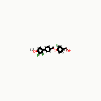 CCOc1ccc(C2CCC(COc3ccc(CO)cc3F)CC2)c(F)c1F